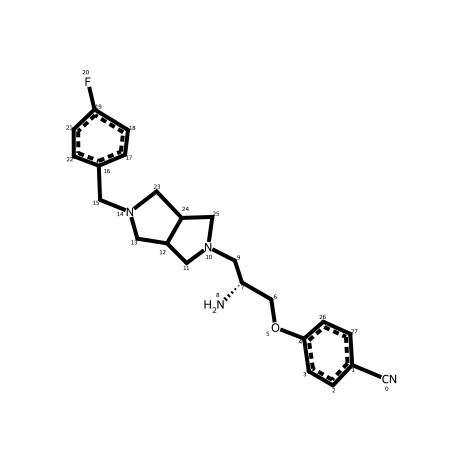 N#Cc1ccc(OC[C@H](N)CN2CC3CN(Cc4ccc(F)cc4)CC3C2)cc1